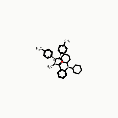 Cc1ccc([C@@H]2N=C(c3ccccc3P(C3CCCCC3)C3CCCCC3)N(C)[C@H]2c2ccc(C)cc2)cc1